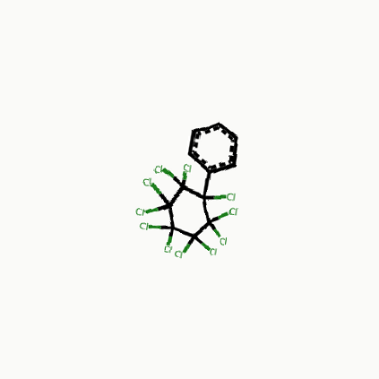 ClC1(Cl)C(Cl)(Cl)C(Cl)(Cl)C(Cl)(c2cc[c]cc2)C(Cl)(Cl)C1(Cl)Cl